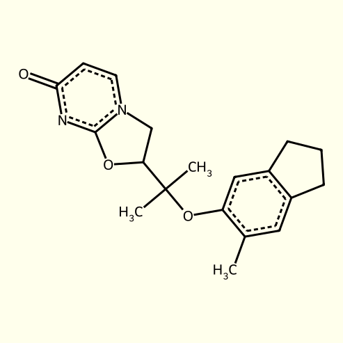 Cc1cc2c(cc1OC(C)(C)C1Cn3ccc(=O)nc3O1)CCC2